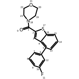 O=C(c1cc2c(-c3cccc(F)c3)cccc2s1)N1CCOCC1